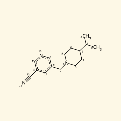 CC(C)C1CCN(Cc2cncc(C#N)c2)CC1